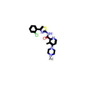 CC(=O)N1CCN(c2ccnc(C(=O)Nc3nc(-c4ccccc4Cl)cs3)c2C)CC1